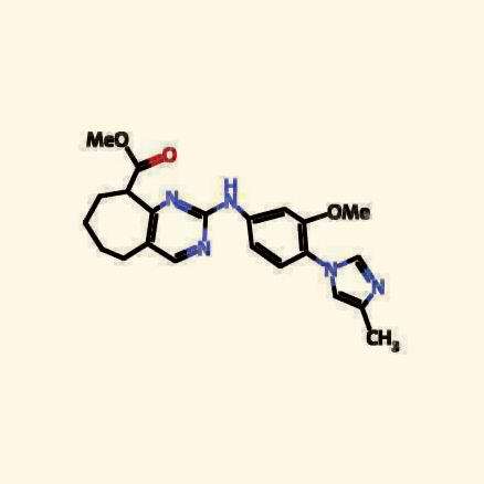 COC(=O)C1CCCCc2cnc(Nc3ccc(-n4cnc(C)c4)c(OC)c3)nc21